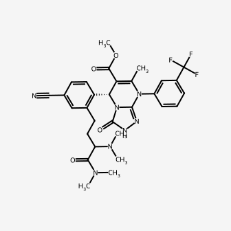 COC(=O)C1=C(C)N(c2cccc(C(F)(F)F)c2)c2n[nH]c(=O)n2[C@@H]1c1ccc(C#N)cc1CCC(C(=O)N(C)C)N(C)C